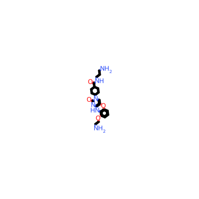 NCCCNC(=O)C1CCC(n2cc3c(nc2=O)Nc2c(OCCN)cccc2O3)CC1